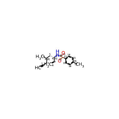 C#CC[C@@H](C)C[C@@H](C=C)NS(=O)(=O)c1ccc(C)cc1